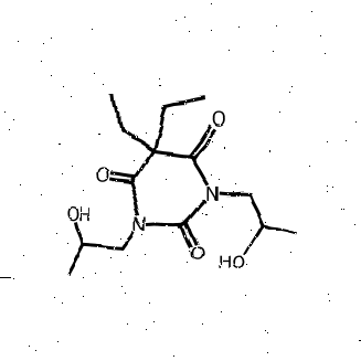 CCC1(CC)C(=O)N(CC(C)O)C(=O)N(CC(C)O)C1=O